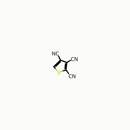 N#Cc1csc(C#N)c1C#N